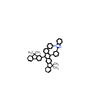 CC1(C)C2=C(CCC=C2)c2cc3c(-c4ccc5c(c4)C(C)(C)C4=C5C=CCC4)c4ccccc4c(-c4cccc(-c5nc6ccccc6n5-c5ccccc5)c4)c3cc21